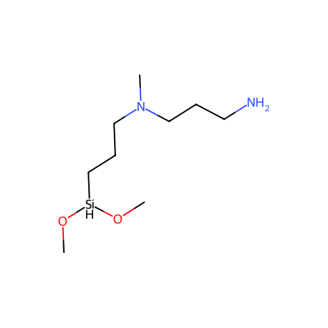 CO[SiH](CCCN(C)CCCN)OC